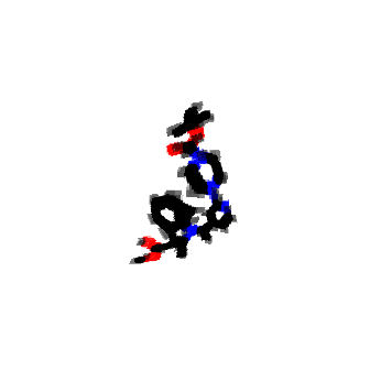 COC(=O)c1c(C)n(C(C)c2ccnc(N3CCN(C(=O)OC(C)(C)C)CC3)c2)c2ccccc12